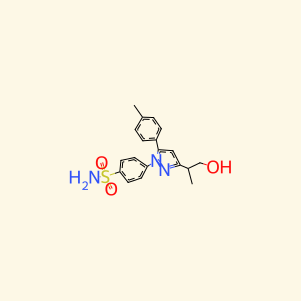 Cc1ccc(-c2cc(C(C)CO)nn2-c2ccc(S(N)(=O)=O)cc2)cc1